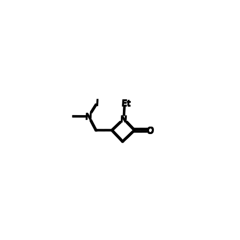 CCN1C(=O)CC1CN(C)I